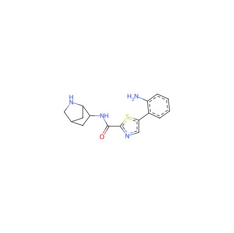 Nc1ccccc1-c1cnc(C(=O)NC2CC3CNC2C3)s1